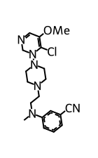 COC1=C(Cl)N(N2CCN(CCN(C)c3cccc(C#N)c3)CC2)CN=C1